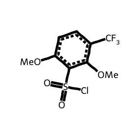 COc1ccc(C(F)(F)F)c(OC)c1S(=O)(=O)Cl